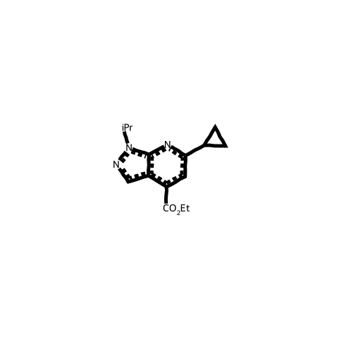 CCOC(=O)c1cc(C2CC2)nc2c1cnn2C(C)C